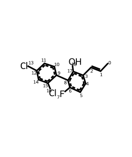 CC=Cc1ccc(F)c(-c2ccc(Cl)cc2Cl)c1O